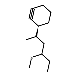 CCC(CC(C)[C@H]1C#CCCC1)SC